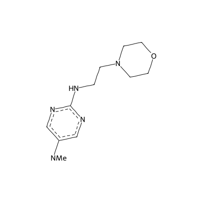 CNc1cnc(NCCN2CCOCC2)nc1